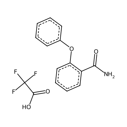 NC(=O)c1ccccc1Oc1ccccc1.O=C(O)C(F)(F)F